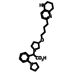 O=C(O)C(c1ccccc1N1CCCC1)N1CC[C@@H](OCCCCc2ccc3c(n2)CCCN3)C1